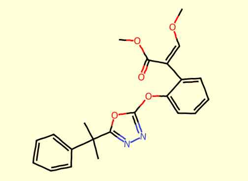 COC=C(C(=O)OC)c1ccccc1Oc1nnc(C(C)(C)c2ccccc2)o1